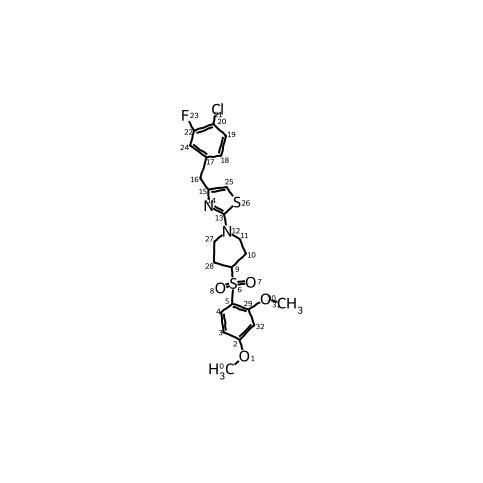 COc1ccc(S(=O)(=O)C2CCN(c3nc(Cc4ccc(Cl)c(F)c4)cs3)CC2)c(OC)c1